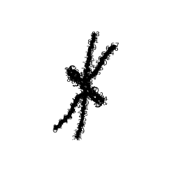 CCCCCCCCCCCCCCCCC1(CCCCCCCCCCCCCCCC)c2cc3c(cc2-c2sc4cc5ccsc5cc4c21)C(CCCCCCCCCCCCCCCC)(CCCCCCCCCCCCCCCC)c1c-3sc2cc3ccsc3cc12